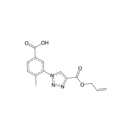 C=CCOC(=O)c1cn(-c2cc(C(=O)O)ccc2C)nn1